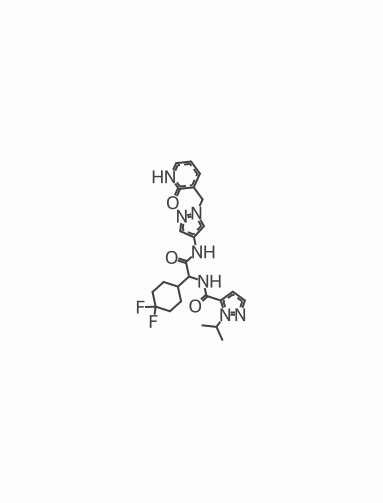 CC(C)n1nccc1C(=O)NC(C(=O)Nc1cnn(Cc2ccc[nH]c2=O)c1)C1CCC(F)(F)CC1